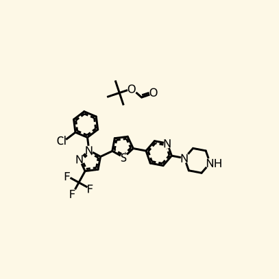 CC(C)(C)OC=O.FC(F)(F)c1cc(-c2ccc(-c3ccc(N4CCNCC4)nc3)s2)n(-c2ccccc2Cl)n1